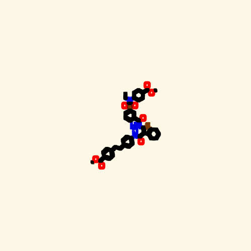 CCN(C1CCC(C(=O)OC)CC1)S(=O)(=O)c1cccc(C(=O)Nc2sc3c(c2C(=O)Nc2ccc(CCc4ccc(C(=O)OC)cc4)cc2)CCCC3)c1